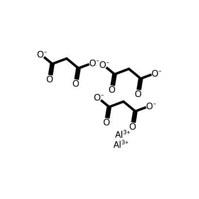 O=C([O-])CC(=O)[O-].O=C([O-])CC(=O)[O-].O=C([O-])CC(=O)[O-].[Al+3].[Al+3]